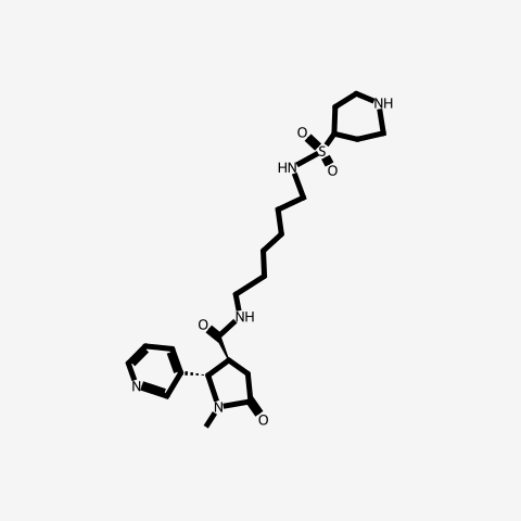 CN1C(=O)C[C@H](C(=O)NCCCCCCNS(=O)(=O)C2CCNCC2)[C@H]1c1cccnc1